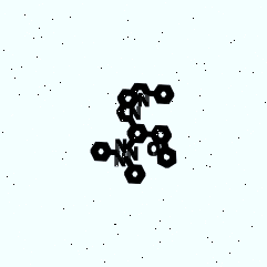 c1ccc(-c2ccc3ccc4ccc(-c5cc(-c6nc(-c7ccccc7)nc(-c7ccccc7)n6)cc(-c6cccc7c6oc6ccccc67)c5)nc4c3n2)cc1